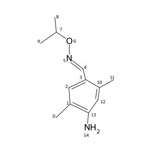 Cc1cc(/C=N/OC(C)C)c(C)cc1N